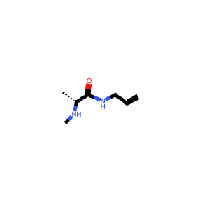 C=CCNC(=O)[C@@H](C)NC